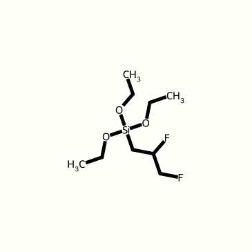 CCO[Si](CC(F)CF)(OCC)OCC